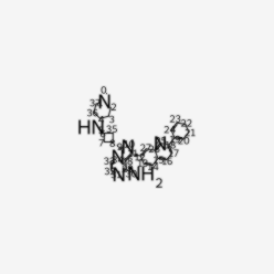 CN1CCC(N[C@H]2C[C@@H](c3nc(-c4ccc5ccc(C6=CCCC=C6)nc5c4)c4c(N)nccn43)C2)CC1